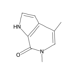 Cc1cn(C)c(=O)c2[nH]ccc12